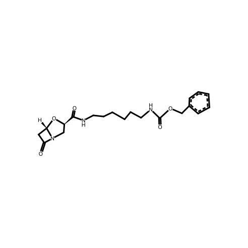 O=C(NCCCCCCNC(=O)[C@H]1CN2C(=O)C[C@@H]2O1)OCc1ccccc1